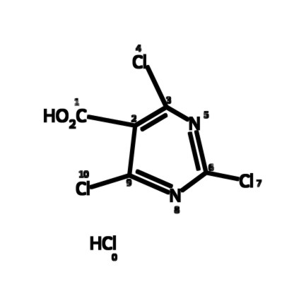 Cl.O=C(O)c1c(Cl)nc(Cl)nc1Cl